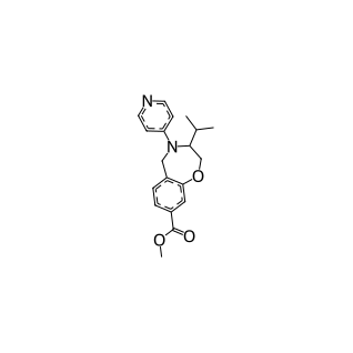 COC(=O)c1ccc2c(c1)OCC(C(C)C)N(c1ccncc1)C2